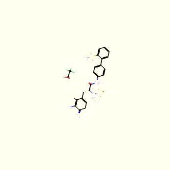 CC1=C(N)C(=NO)CC=C1C[C@@H](C(=O)Nc1ccc(-c2ccccc2S(N)(=O)=O)cc1)N(C)S(C)(=O)=O.O=C(O)C(F)(F)F